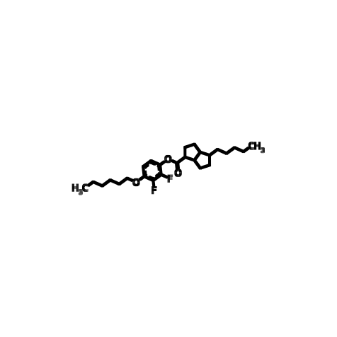 CCCCCCOc1ccc(OC(=O)C2CCC3C(CCCCC)CCC23)c(F)c1F